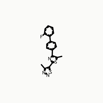 Cc1nnsc1-c1nc(-c2ccc(-c3ccccc3F)cc2)c(C)s1